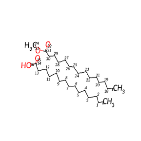 CCCCCCCCCCCCCCC(=O)O.CCCCCCCCCCCCCCC(=O)OC